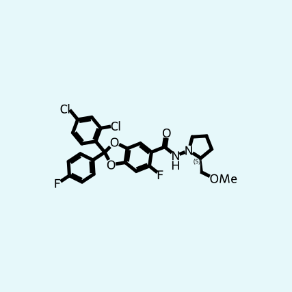 COC[C@@H]1CCCN1NC(=O)c1cc2c(cc1F)OC(c1ccc(F)cc1)(c1ccc(Cl)cc1Cl)O2